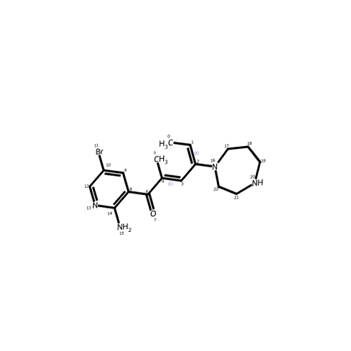 C/C=C(\C=C(/C)C(=O)c1cc(Br)cnc1N)N1CCCNCC1